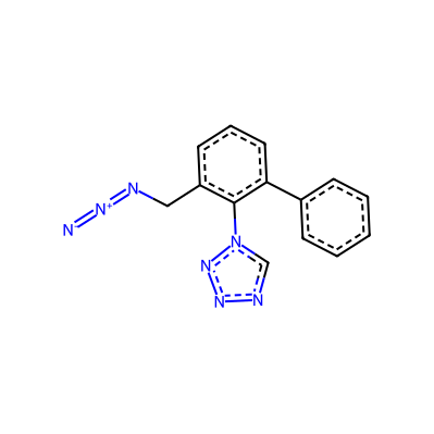 [N-]=[N+]=NCc1cccc(-c2ccccc2)c1-n1cnnn1